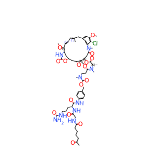 COc1cc2cc(c1Cl)N(C)C(=O)C[C@H](OC(=O)[C@H](C)N(C)C(=O)CCN(C)C(=O)OCc1ccc(NC(=O)C(CCCNC(N)=O)NC(=O)CNC(=O)CCCCC(C)=O)cc1)[C@]1(C)OC1CC1CC(NC(=O)O1)[C@H](OC)/C=C/C=C(\C)C2